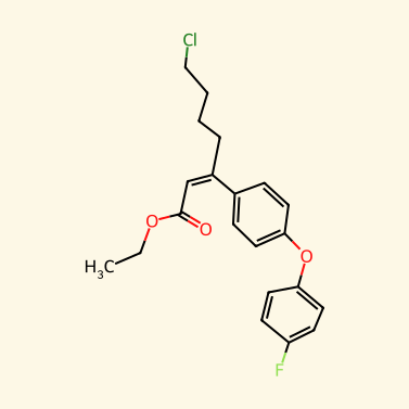 CCOC(=O)/C=C(/CCCCCl)c1ccc(Oc2ccc(F)cc2)cc1